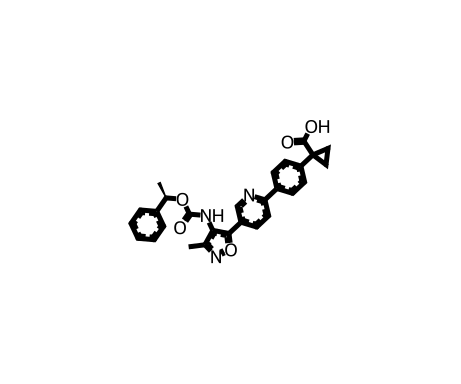 Cc1noc(-c2ccc(-c3ccc(C4(C(=O)O)CC4)cc3)nc2)c1NC(=O)O[C@H](C)c1ccccc1